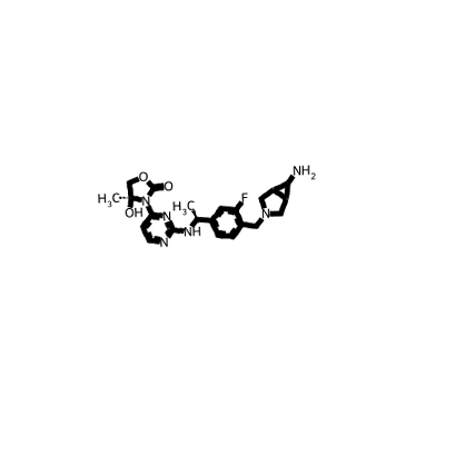 C[C@H](Nc1nccc(N2C(=O)OC[C@]2(C)O)n1)c1ccc(CN2CC3C(N)C3C2)c(F)c1